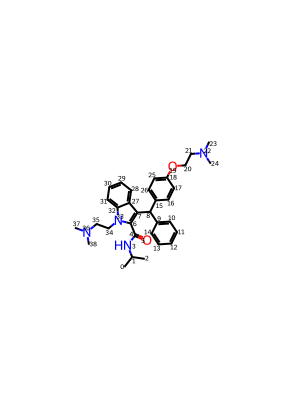 CC(C)NC(=O)c1c(C(c2ccccc2)c2ccc(OCCN(C)C)cc2)c2ccccc2n1CCN(C)C